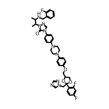 CC(NCc1ccccc1F)C(C)n1ncn(-c2ccc(N3CCN(c4ccc(OCC5COC(Cn6cncn6)(c6ccc(F)cc6F)O5)cc4)CC3)cc2)c1=O